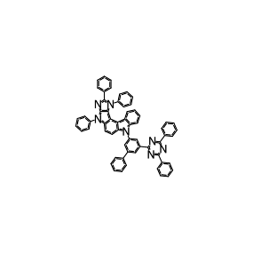 c1ccc(-c2cc(-c3nc(-c4ccccc4)nc(-c4ccccc4)n3)cc(-n3c4ccccc4c4c5c6c(nc(-c7ccccc7)n6-c6ccccc6)n(-c6ccccc6)c5ccc43)c2)cc1